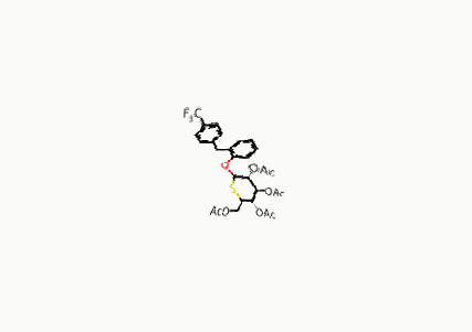 CC(=O)OC[C@H]1S[C@@H](Oc2ccccc2Cc2ccc(C(F)(F)F)cc2)[C@H](OC(C)=O)[C@@H](OC(C)=O)[C@@H]1OC(C)=O